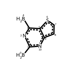 Bc1nc(B)c2sccc2n1